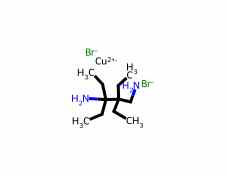 CCC(N)(CC)C(CC)(CC)CN.[Br-].[Br-].[Cu+2]